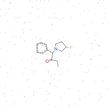 CCC(=O)C(c1ccccc1)N1CCC(F)C1